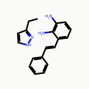 CCc1cc[nH]n1.Nc1cccc(C=Cc2ccccc2)c1N